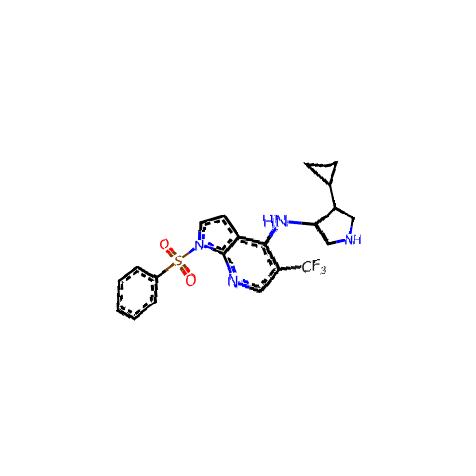 O=S(=O)(c1ccccc1)n1ccc2c(NC3CNCC3C3CC3)c(C(F)(F)F)cnc21